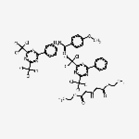 CCOC(=O)CNCC(=O)OCC.COc1ccc(C(N)=O)cc1.ClC(Cl)(Cl)c1nc(-c2ccccc2)nc(C(Cl)(Cl)Cl)n1.ClC(Cl)(Cl)c1nc(-c2ccccc2)nc(C(Cl)(Cl)Cl)n1